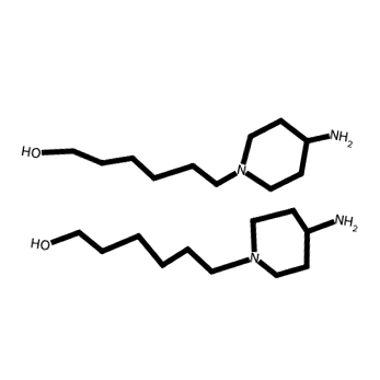 NC1CCN(CCCCCCO)CC1.NC1CCN(CCCCCCO)CC1